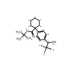 CC(C)(C)OC(=O)C1(c2ccc(C(O)C(F)(F)F)cc2)CCCCC1